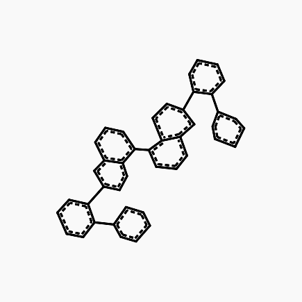 c1ccc(-c2ccccc2-c2ccc3c(-c4cccc5cc(-c6ccccc6-c6ccccc6)ccc45)cccc3c2)cc1